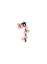 C=CC(=O)OCCOC(=O)COC1C2OS(=O)(=O)C3CC1C(C)(C)C23